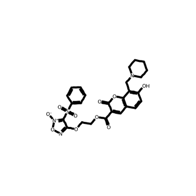 O=C(OCCOc1no[n+]([O-])c1S(=O)(=O)c1ccccc1)c1cc2ccc(O)c(CN3CCCCC3)c2oc1=O